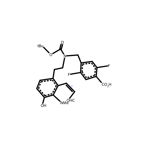 CNc1c(O)ccc(CCN(Cc2cc(F)c(C(=O)O)cc2F)C(=O)OC(C)(C)C)c1/C=C\C=O